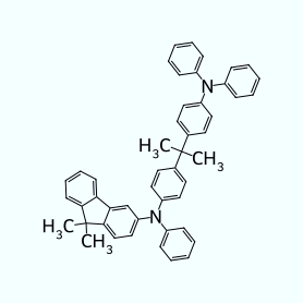 CC(C)(c1ccc(N(c2ccccc2)c2ccccc2)cc1)c1ccc(N(c2ccccc2)c2ccc3c(c2)-c2ccccc2C3(C)C)cc1